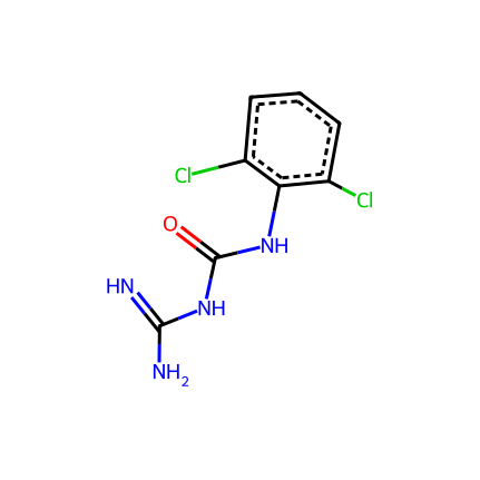 N=C(N)NC(=O)Nc1c(Cl)cccc1Cl